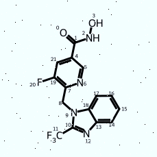 O=C(NO)c1cnc(Cn2c(C(F)(F)F)nc3ccccc32)c(F)c1